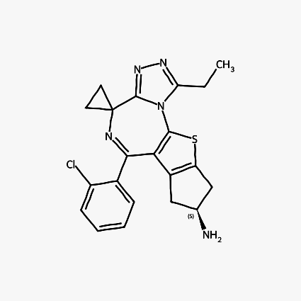 CCc1nnc2n1-c1sc3c(c1C(c1ccccc1Cl)=NC21CC1)C[C@H](N)C3